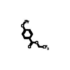 CC(C)Oc1ccc(C(=O)OCC(F)(F)F)cc1